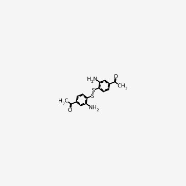 CC(=O)c1ccc(SSc2ccc(C(C)=O)cc2N)c(N)c1